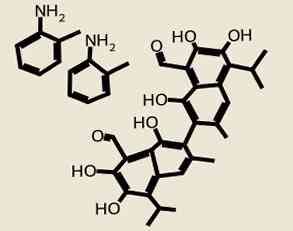 Cc1cc2c(C(C)C)c(O)c(O)c(C=O)c2c(O)c1-c1c(C)cc2c(C(C)C)c(O)c(O)c(C=O)c2c1O.Cc1ccccc1N.Cc1ccccc1N